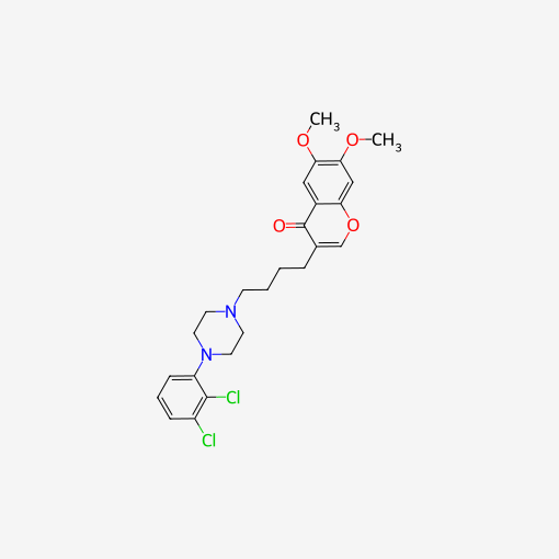 COc1cc2occ(CCCCN3CCN(c4cccc(Cl)c4Cl)CC3)c(=O)c2cc1OC